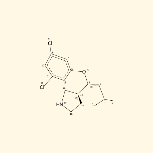 CC(C)C[C@@H](Oc1cc(Cl)cc(Cl)c1)[C@H]1CCNC1